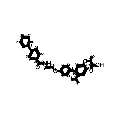 CC(Oc1ccc(C(C)C)c(-c2ccc(OCCNC(=O)c3ccc(-c4ccccc4)cc3)cc2)c1)C(=O)O